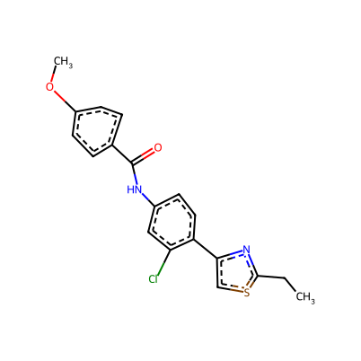 CCc1nc(-c2ccc(NC(=O)c3ccc(OC)cc3)cc2Cl)cs1